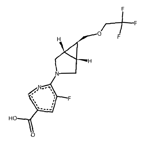 O=C(O)c1cnc(N2C[C@@H]3[C@@H](COCC(F)(F)F)[C@@H]3C2)c(F)c1